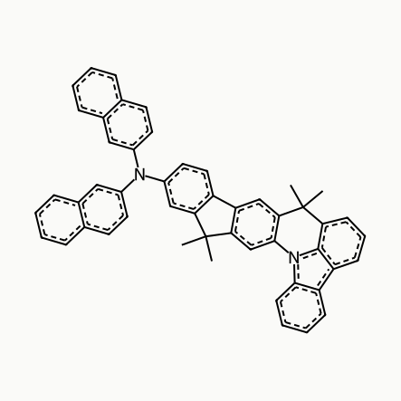 CC1(C)c2cc(N(c3ccc4ccccc4c3)c3ccc4ccccc4c3)ccc2-c2cc3c(cc21)-n1c2ccccc2c2cccc(c21)C3(C)C